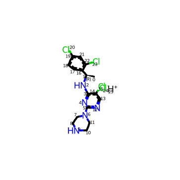 C[C@@H](Nc1nc(N2CCNCC2)ncc1Cl)c1ccc(Cl)cc1Cl.[Cl-].[H+]